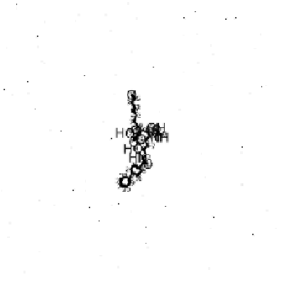 CC(=O)NC1[C@H]([C@H](C)[C@H](O)CNC(=O)c2ccc(-c3ccccc3)cc2)O[C@@](OCCCSCCC=O)(C(=O)O)C[C@@H]1O